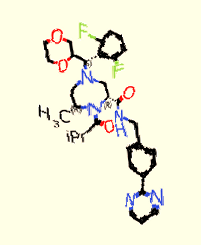 CC(C)C(=O)N1[C@H](C)CN([C@@H](c2c(F)cccc2F)C2COCCO2)C[C@@H]1C(=O)NCc1ccc(-c2ncccn2)cc1